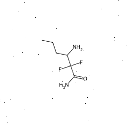 CCCC(N)C(F)(F)C(N)=O